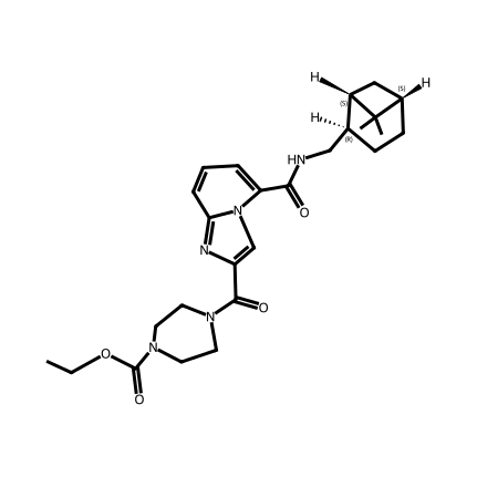 CCOC(=O)N1CCN(C(=O)c2cn3c(C(=O)NC[C@@H]4CC[C@H]5C[C@@H]4C5(C)C)cccc3n2)CC1